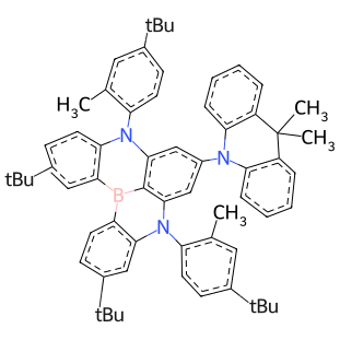 Cc1cc(C(C)(C)C)ccc1N1c2ccc(C(C)(C)C)cc2B2c3ccc(C(C)(C)C)cc3N(c3ccc(C(C)(C)C)cc3C)c3cc(N4c5ccccc5C(C)(C)c5ccccc54)cc1c32